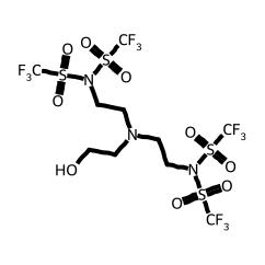 O=S(=O)(N(CCN(CCO)CCN(S(=O)(=O)C(F)(F)F)S(=O)(=O)C(F)(F)F)S(=O)(=O)C(F)(F)F)C(F)(F)F